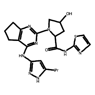 CC(C)c1cc(Nc2nc(N3CC(O)CC3C(=O)Nc3nccs3)nc3c2CCC3)n[nH]1